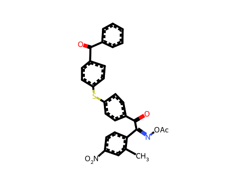 CC(=O)O/N=C(\C(=O)c1ccc(Sc2ccc(C(=O)c3ccccc3)cc2)cc1)c1ccc([N+](=O)[O-])cc1C